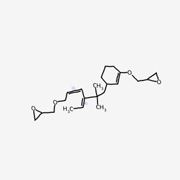 C/C=C(\C=C/COCC1CO1)C(C)(C)CC1C=C(OCC2CO2)CCC1